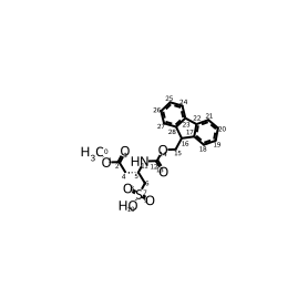 COC(=O)C[C@@H](CS(=O)(=O)O)NC(=O)OCC1c2ccccc2-c2ccccc21